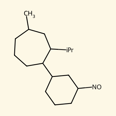 CC1CCCC(C2CCCC(N=O)C2)C(C(C)C)C1